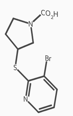 O=C(O)N1CCC(Sc2ncccc2Br)C1